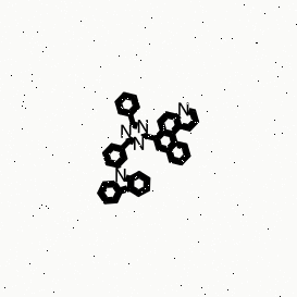 c1ccc(-c2nc(-c3cccc(-n4c5ccccc5c5ccccc54)c3)nc(-c3cc4ccccc4c4c3ccc3ncccc34)n2)cc1